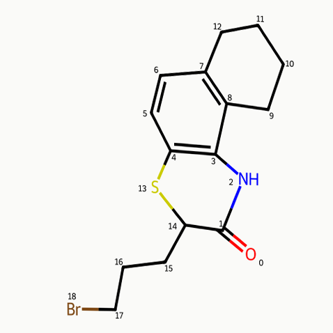 O=C1Nc2c(ccc3c2CCCC3)SC1CCCBr